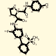 CS(=O)(=O)c1ccccc1-c1ccc(NC(=O)C2CC=NN2C(=O)Nc2ccc(Cl)cc2)c(F)c1